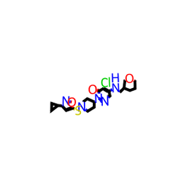 O=c1c(Cl)c(NCC2CCCOC2)cnn1C1CCN(Sc2cc(C3CC3)no2)CC1